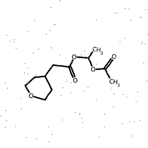 CC(=O)OC(C)OC(=O)CC1CCOCC1